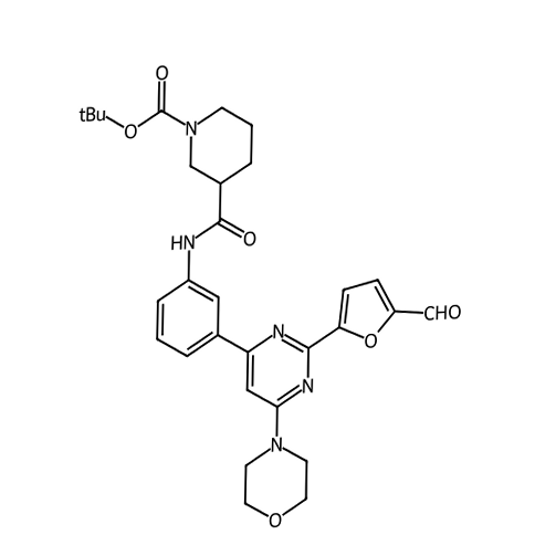 CC(C)(C)OC(=O)N1CCCC(C(=O)Nc2cccc(-c3cc(N4CCOCC4)nc(-c4ccc(C=O)o4)n3)c2)C1